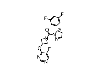 O=C(N1CC(Oc2ncncc2F)C1)N1N=CC[C@H]1c1cc(F)cc(F)c1